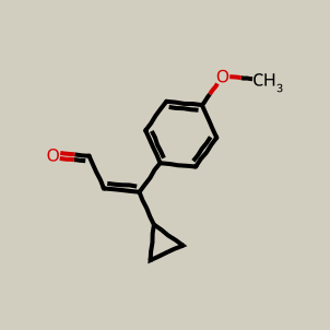 COc1ccc(/C(=C\C=O)C2CC2)cc1